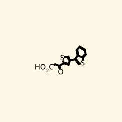 O=C(O)CC(=O)c1cc(-c2csc3ccccc23)cs1